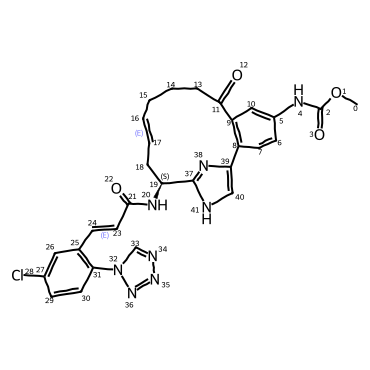 COC(=O)Nc1ccc2c(c1)C(=O)CCC/C=C/C[C@H](NC(=O)/C=C/c1cc(Cl)ccc1-n1cnnn1)c1nc-2c[nH]1